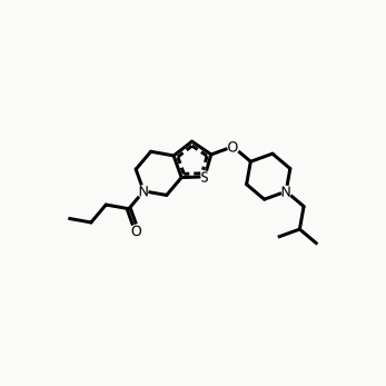 CCCC(=O)N1CCc2cc(OC3CCN(CC(C)C)CC3)sc2C1